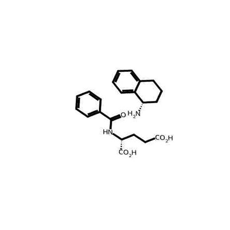 N[C@H]1CCCc2ccccc21.O=C(O)CC[C@@H](NC(=O)c1ccccc1)C(=O)O